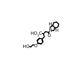 O=C(O)C(CC(=O)N1C[C@H]2CCCC[C@H]2C1)Cc1ccc(OCCO)cc1